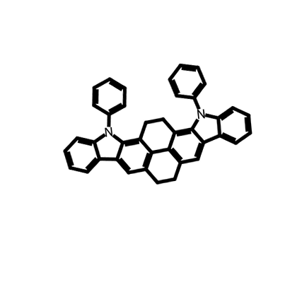 c1ccc(-n2c3ccccc3c3cc4c5c(c32)CCc2c-5c(cc3c5ccccc5n(-c5ccccc5)c23)CC4)cc1